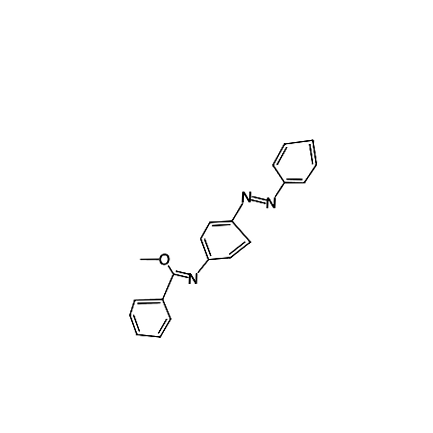 COC(=Nc1ccc(N=Nc2ccccc2)cc1)c1ccccc1